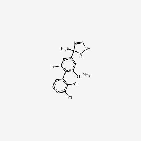 N.NC1(c2cc(Cl)c(-c3cccc(Cl)c3Cl)c(Cl)c2)N=CNN1